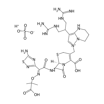 CC(C)(ON=C(C(=O)N[C@@H]1C(=O)N2C(C(=O)O)=C(C[n+]3cc(C(CNC(=N)N)CNC(=N)N)c4n3CCCN4)CS[C@H]12)c1nsc(N)n1)C(=O)O.O=S(=O)([O-])[O-].[H+]